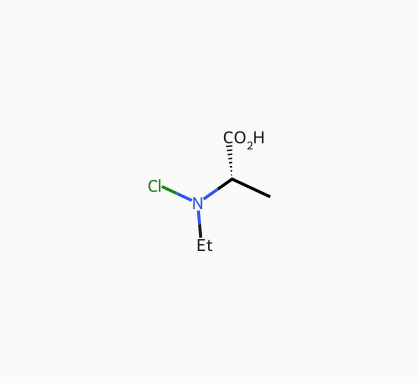 CCN(Cl)[C@@H](C)C(=O)O